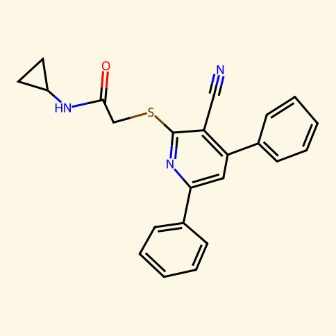 N#Cc1c(-c2ccccc2)cc(-c2ccccc2)nc1SCC(=O)NC1CC1